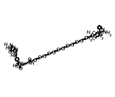 CCCCc1nc2c(N)nc3ccccc3c2n1CC(C)(C)COCCCOCCOCCOCCOCCOCCOCCOCCOCCOCCOCCOCCOCCC(=O)NCCCCC(NC(=O)c1ccc(NCc2cnc3nc(N)[nH]c(=O)c3n2)cc1)C(=O)O